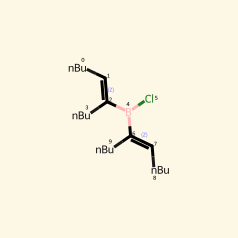 CCCC/C=C(\CCCC)B(Cl)/C(=C/CCCC)CCCC